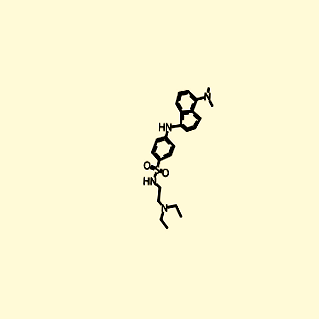 CCN(CC)CCNS(=O)(=O)c1ccc(Nc2cccc3c(N(C)C)cccc23)cc1